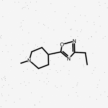 CCc1noc(C2CCN(C)CC2)n1